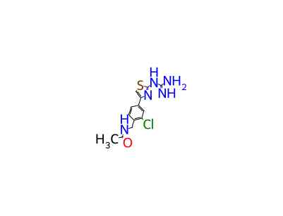 CC(=O)NCc1ccc(-c2csc(NC(=N)N)n2)cc1Cl